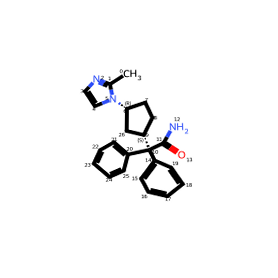 Cc1nccn1[C@@H]1CC[C@H](C(C(N)=O)(c2ccccc2)c2ccccc2)C1